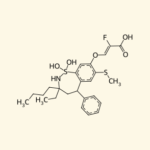 CCCCC1(CC)CC(c2ccccc2)c2cc(SC)c(O/C=C(\F)C(=O)O)cc2S(O)(O)N1